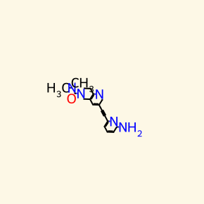 CN(C)C(=O)N1CCc2ncc(C#Cc3cccc(N)n3)cc2C1